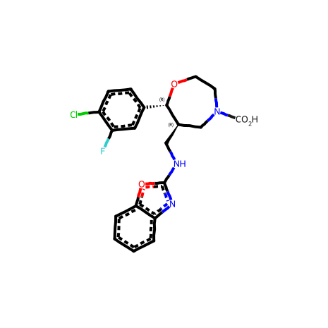 O=C(O)N1CCO[C@@H](c2ccc(Cl)c(F)c2)[C@H](CNc2nc3ccccc3o2)C1